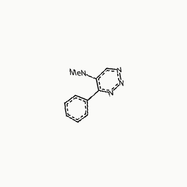 CNc1cnnnc1-c1ccccc1